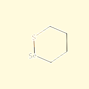 C1CC[Se]SC1